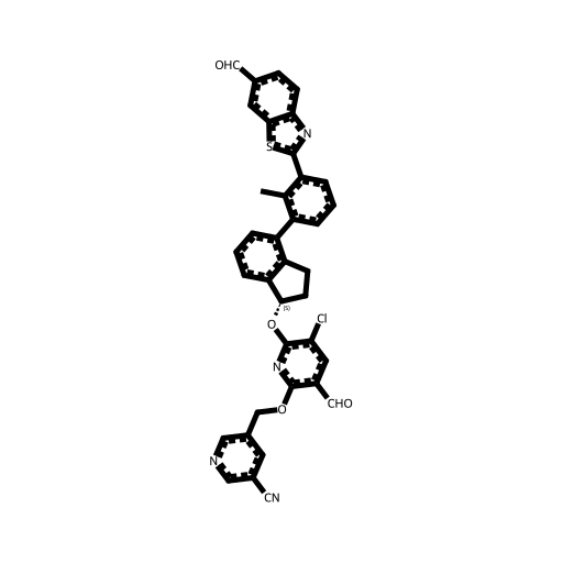 Cc1c(-c2nc3ccc(C=O)cc3s2)cccc1-c1cccc2c1CC[C@@H]2Oc1nc(OCc2cncc(C#N)c2)c(C=O)cc1Cl